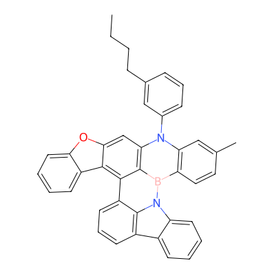 CCCCc1cccc(N2c3cc(C)ccc3B3c4c2cc2oc5ccccc5c2c4-c2cccc4c5ccccc5n3c24)c1